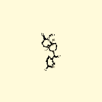 CCCCN1C(=O)CC[C@@H]2CN(C(=O)c3ccc(=O)[nH]n3)CC[C@@H]21